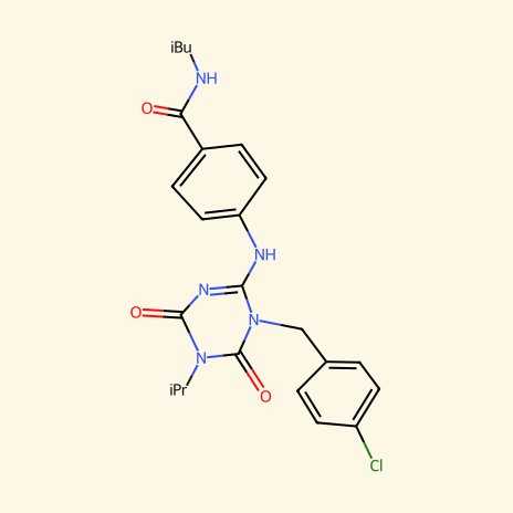 CCC(C)NC(=O)c1ccc(Nc2nc(=O)n(C(C)C)c(=O)n2Cc2ccc(Cl)cc2)cc1